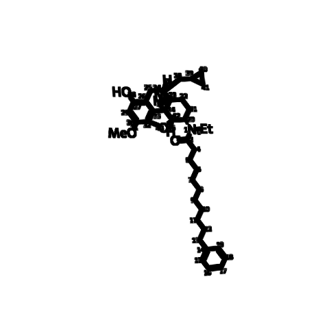 CCN(C(=O)CCCCCCCCCCc1ccccc1)[C@H]1CC[C@H]2[C@H]3Cc4c(O)cc(OC)c5c4[C@@]2(CCN3CC2CC2)[C@H]1O5